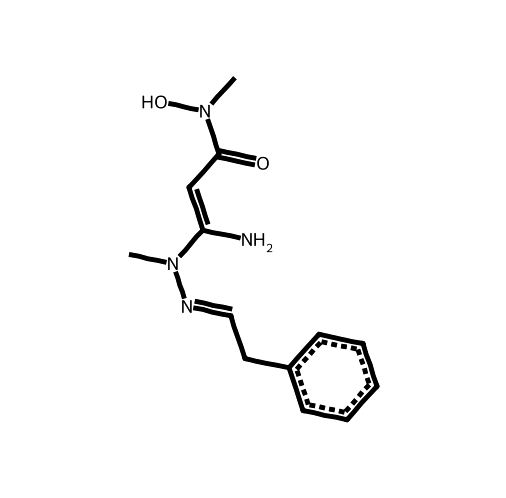 CN(O)C(=O)/C=C(\N)N(C)/N=C/Cc1ccccc1